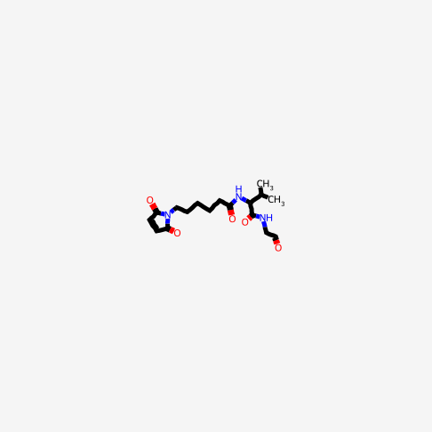 CC(C)C(NC(=O)CCCCCN1C(=O)C=CC1=O)C(=O)NCC=O